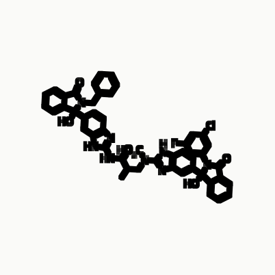 CC(CN(C(=O)O)c1nc2cc(C3(O)c4ccccc4C(=O)N3c3cc(F)cc(Cl)c3)ccc2[nH]1)C(=O)Nc1nc2ccc(C3(O)c4ccccc4C(=O)N3Cc3ccccc3)cc2[nH]1